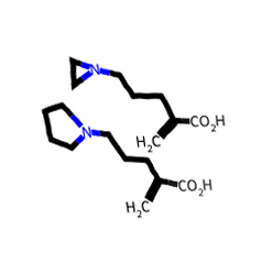 C=C(CCCN1CC1)C(=O)O.C=C(CCCN1CCCC1)C(=O)O